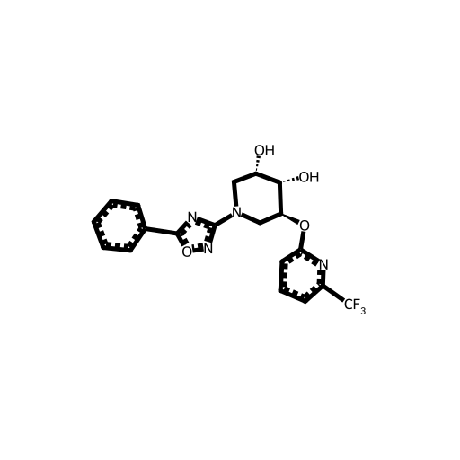 O[C@@H]1[C@@H](Oc2cccc(C(F)(F)F)n2)CN(c2noc(-c3ccccc3)n2)C[C@@H]1O